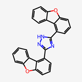 c1ccc2c(c1)oc1cccc(-c3n[nH]c(-c4cccc5oc6ccccc6c45)n3)c12